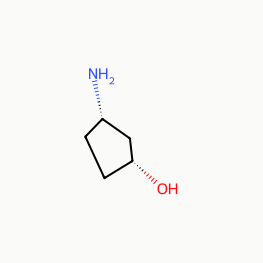 N[C@H]1CC[C@@H](O)C1